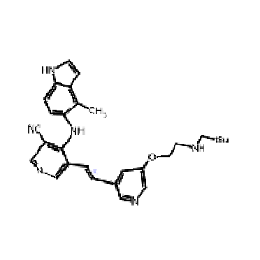 Cc1c(Nc2c(C#N)cncc2/C=C/c2cncc(OCCNCC(C)(C)C)c2)ccc2[nH]ccc12